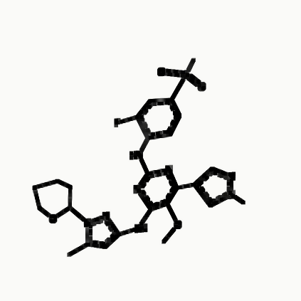 COc1c(Nc2cc(C)n(C3CCCCO3)n2)nc(Nc2ccc(S(C)(=O)=O)cc2F)nc1-c1cnn(C)c1